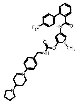 Cn1cc(NC(=O)c2ccccc2-c2ccc(C(F)(F)F)cc2)cc1OC(=O)NCc1ccc(N2CCC(N3CCCC3)CC2)cc1